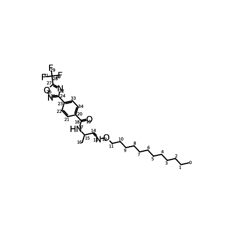 CCCCCCCCCCCCON=CC(C)NC(=O)c1ccc(-c2noc(C(F)(F)F)n2)cc1